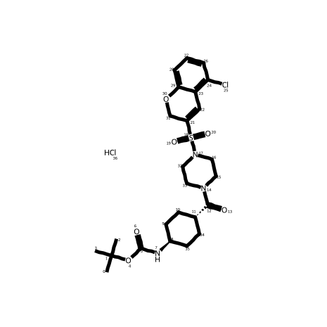 CC(C)(C)OC(=O)N[C@H]1CC[C@H](C(=O)N2CCN(S(=O)(=O)C3=Cc4c(Cl)cccc4OC3)CC2)CC1.Cl